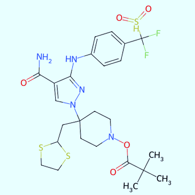 CC(C)(C)C(=O)ON1CCC(CC2SCCS2)(n2cc(C(N)=O)c(Nc3ccc(C(F)(F)[SH](=O)=O)cc3)n2)CC1